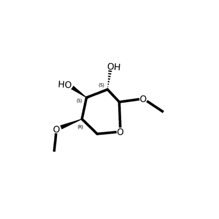 COC1OC[C@@H](OC)[C@@H](O)[C@@H]1O